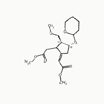 COC[C@@H]1C(CC(=O)OC)C(=CC(=O)OC)C[C@H]1OC1CCCCO1